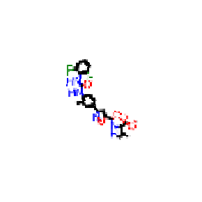 COC(=O)C(NC(=O)c1cc(-c2ccc(NC(=O)Nc3c(F)cccc3F)c(C)c2)no1)C(C)C